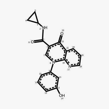 O=C(NC1CC1)c1cn(-c2cccc(O)c2)c2ncccc2c1=O